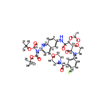 CC(=O)OC(C(=O)Nc1ccc2nc(N(C(=O)OC(C)(C)C)C(=O)OC(C)(C)C)ccc2c1)C1OCCN(c2ccc(F)c(C(=O)N3CCOCC3)c2)C1=O